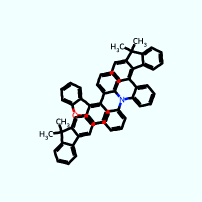 CC1(C)c2ccccc2-c2cc(-c3cccc(N(c4ccccc4-c4cccc5c4-c4ccccc4C5(C)C)c4ccccc4-c4cccc5oc6ccccc6c45)c3)ccc21